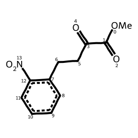 COC(=O)C(=O)CCc1ccccc1[N+](=O)[O-]